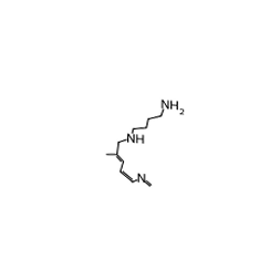 C=N/C=C\C=C(/C)CNCCCCN